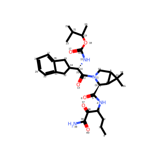 CCCC(NC(=O)[C@@H]1C2C(CN1C(=O)[C@@H](NC(=O)OC(C)C(C)C)C1Cc3ccccc3C1)C2(C)C)C(=O)C(N)=O